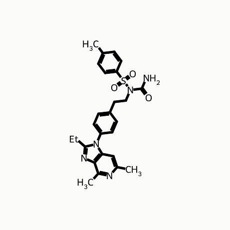 CCc1nc2c(C)nc(C)cc2n1-c1ccc(CCN(C(N)=O)S(=O)(=O)c2ccc(C)cc2)cc1